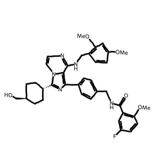 COc1ccc(CNc2nccn3c2c(-c2ccc(CNC(=O)c4cc(F)ccc4OC)cc2)nc3[C@H]2CC[C@H](CO)CC2)c(OC)c1